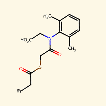 Cc1cccc(C)c1N(CC(=O)O)C(=O)CSC(=O)CC(C)C